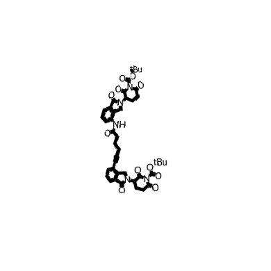 CC(C)(C)OC(=O)N1C(=O)CCC(N2Cc3c(C#CCCCC(=O)Nc4cccc5c4CN(C4CCC(=O)N(C(=O)OC(C)(C)C)C4=O)C5=O)cccc3C2=O)C1=O